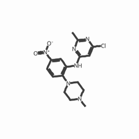 Cc1nc(Cl)cc(Nc2cc([N+](=O)[O-])ccc2N2CCN(C)CC2)n1